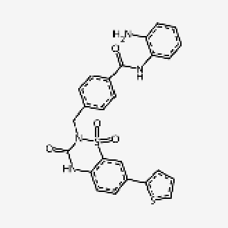 Nc1ccccc1NC(=O)c1ccc(CN2C(=O)Nc3ccc(-c4cccs4)cc3S2(=O)=O)cc1